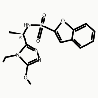 CCn1c(OC)nnc1[C@@H](C)NS(=O)(=O)c1cc2ccccc2o1